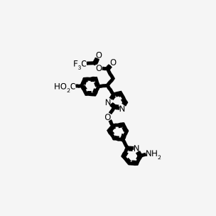 Nc1cccc(-c2ccc(Oc3nccc(C(CC(=O)OC(=O)C(F)(F)F)c4ccc(C(=O)O)cc4)n3)cc2)n1